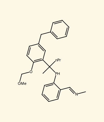 CCCC(C)(Pc1ccccc1/C=N/C)c1cc(Cc2ccccc2)ccc1OCOC